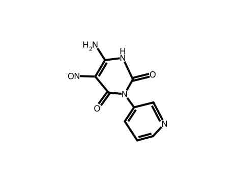 Nc1[nH]c(=O)n(-c2cccnc2)c(=O)c1N=O